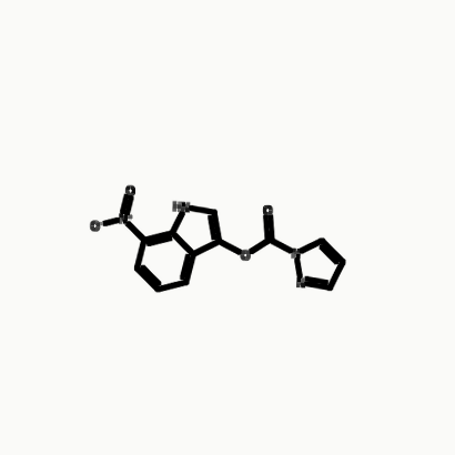 O=C(Oc1c[nH]c2c([N+](=O)[O-])cccc12)n1cccn1